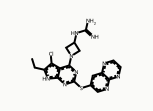 CCc1[nH]c2nc(Sc3cnc4nccnc4c3)nc(N3CC(NC(=N)N)C3)c2c1Cl